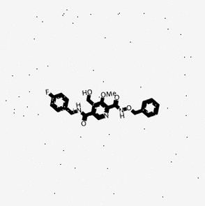 COc1c(C(=O)NOCc2ccccc2)ncc(C(=O)NCc2ccc(F)cc2)c1CO